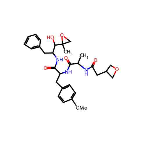 COc1ccc(CC(NC(=O)C(C)NC(=O)CC2COC2)C(=O)NC(Cc2ccccc2)C(O)C2(C)CO2)cc1